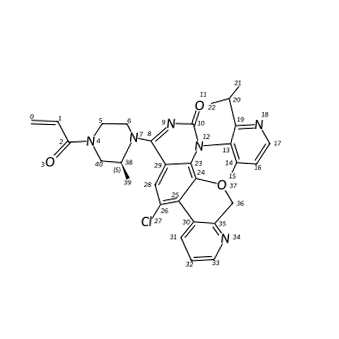 C=CC(=O)N1CCN(c2nc(=O)n(-c3c(C)ccnc3C(C)C)c3c4c(c(Cl)cc23)-c2cccnc2CO4)[C@@H](C)C1